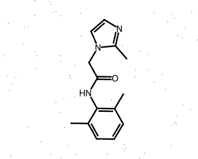 Cc1cccc(C)c1NC(=O)Cn1ccnc1C